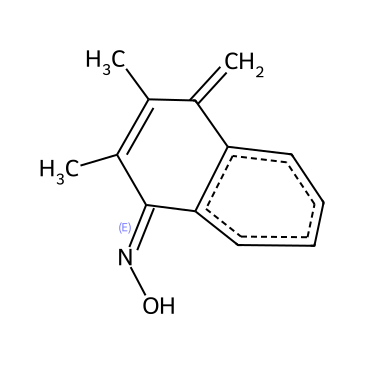 C=C1C(C)=C(C)/C(=N/O)c2ccccc21